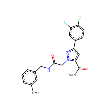 CNC(=O)c1cc(-c2ccc(Cl)c(F)c2)nn1CC(=O)NCc1cccc(OC)c1